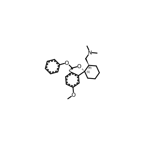 COc1cccc([C@]2(OC(=S)Oc3ccccc3)CCCC[C@@H]2CN(C)C)c1